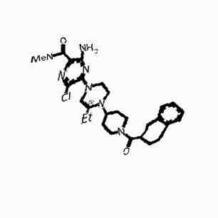 CC[C@H]1CN(c2nc(N)c(C(=O)NC)nc2Cl)CCN1C1CCN(C(=O)C2CCc3ccccc3C2)CC1